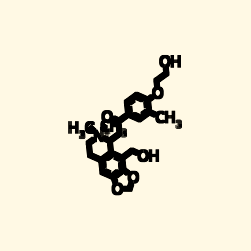 Cc1cc(C(=O)CC2c3c(cc4c(c3CO)OCO4)CC[N+]2(C)C)ccc1OCCO